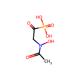 CC(=O)N(O)CC(=O)P(=O)(O)O